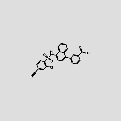 N#Cc1ccc(S(=O)(=O)Nc2ccc(-c3cccc(C(=O)O)c3)c3ccccc23)c(Cl)c1